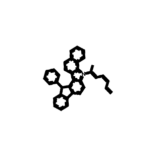 C=C/C=C\C=C(/C)n1c2ccc3c(c2c2ccc4ccccc4c21)C(c1ccccc1)c1ccccc1-3